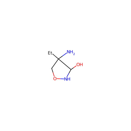 CCC1(N)CONC1O